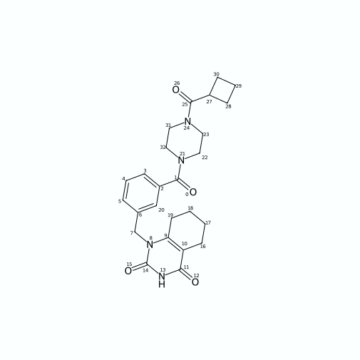 O=C(c1cccc(Cn2c3c(c(=O)[nH]c2=O)CCCC3)c1)N1CCN(C(=O)C2CCC2)CC1